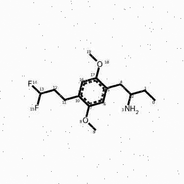 CCC(N)Cc1cc(OC)c(CCC(F)F)cc1OC